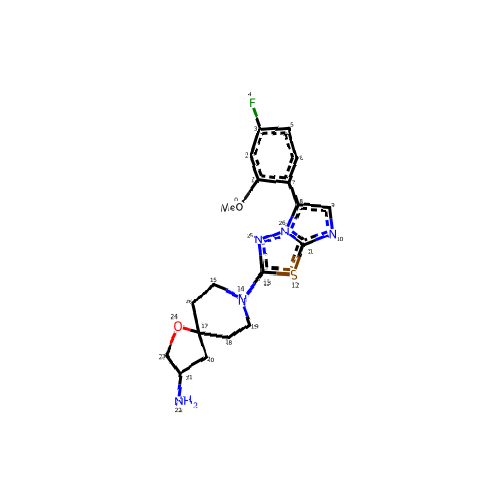 COc1cc(F)ccc1-c1cnc2sc(N3CCC4(CC3)CC(N)CO4)nn12